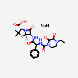 CCN1CCN(C(=O)NC(C(=O)N[C@@H]2C(=O)N3[C@@H]2SC(C)(C)[C@@H]3C(=O)O)c2ccccc2)C(=O)C1=O.[NaH]